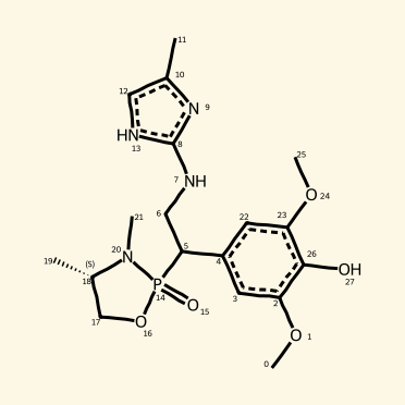 COc1cc(C(CNc2nc(C)c[nH]2)P2(=O)OC[C@H](C)N2C)cc(OC)c1O